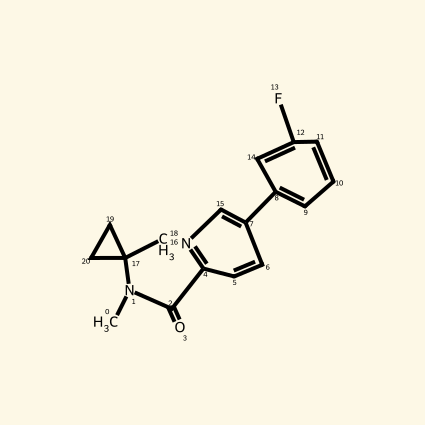 CN(C(=O)c1ccc(-c2cccc(F)c2)cn1)C1(C)CC1